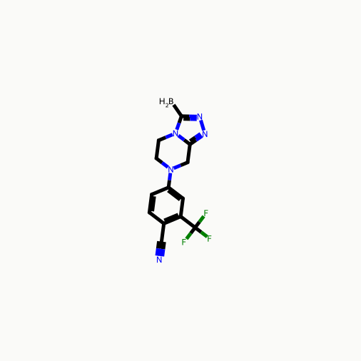 Bc1nnc2n1CCN(c1ccc(C#N)c(C(F)(F)F)c1)C2